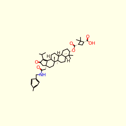 Cc1ccc(CNC(=O)C[C@@]23CC[C@]4(C)[C@H](CC[C@@H]5[C@@]6(C)CC[C@H](OC(=O)[C@H]7C[C@@H](C(=O)O)C7(C)C)C(C)(C)[C@@H]6CC[C@]54C)C2=C(C(C)C)C(=O)C3)cc1